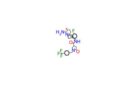 CC1(c2cc(NC(=O)C3CC(=O)N(Cc4ccc(C(F)(F)F)cc4)C3)ccc2F)CCSC(N)=N1